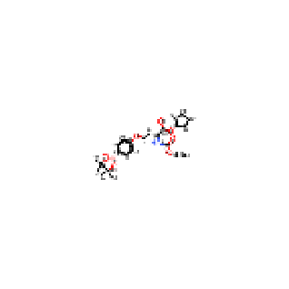 CC(C)(C)OC(=O)N[C@H](CCOc1ccc(B2OC(C)(C)C(C)(C)O2)cc1)C(=O)OC1CCCC1